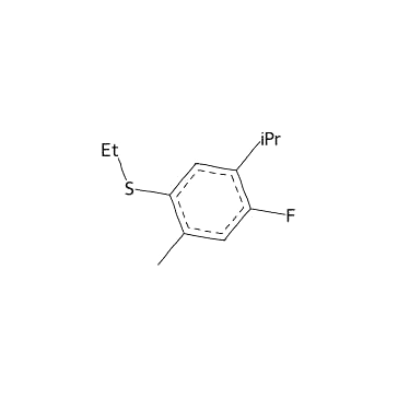 CCSc1cc(C(C)C)c(F)cc1C